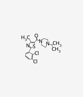 Cc1nc(-c2cccc(Cl)c2Cl)sc1C(=O)N1CCN(C(C)C)CC1